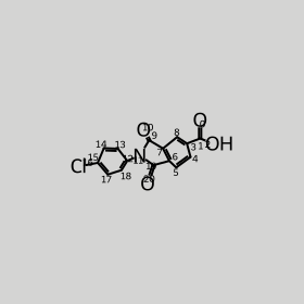 O=C(O)c1ccc2c(c1)C(=O)N(c1ccc(Cl)cc1)C2=O